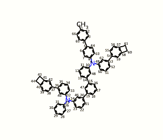 Cc1ccc(-c2ccc(N(c3cccc(-c4cccc(-c5cccc(N(c6ccccc6)c6cccc(-c7ccc8c(c7)CC8)c6)c5)c4)c3)c3cccc(-c4ccc5c(c4)CC5)c3)cc2)cc1